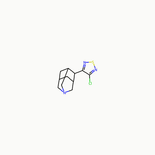 Clc1nsnc1C1C2CC3CC1CN(C3)C2